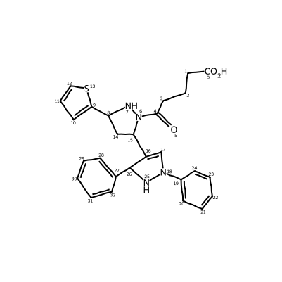 O=C(O)CCCC(=O)N1NC(c2cccs2)CC1C1=CN(c2ccccc2)NC1c1ccccc1